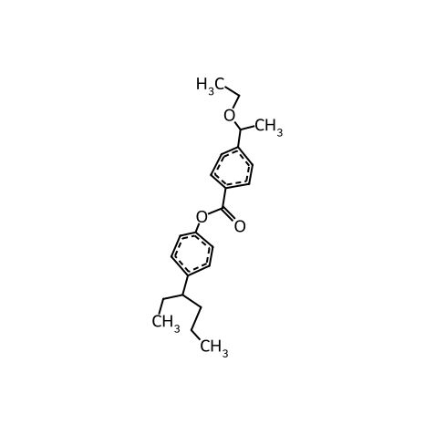 CCCC(CC)c1ccc(OC(=O)c2ccc(C(C)OCC)cc2)cc1